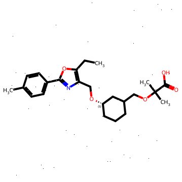 CCc1oc(-c2ccc(C)cc2)nc1CO[C@H]1CCCC(COC(C)(C)C(=O)O)C1